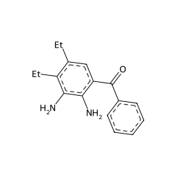 CCc1cc(C(=O)c2ccccc2)c(N)c(N)c1CC